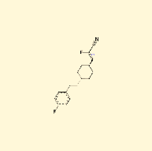 N#C/C(F)=C/[C@H]1CC[C@H](CCc2ccc(F)cc2)CC1